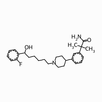 CC(C)(C(N)=O)c1cccc(C2CCN(CCCCCC(O)c3ccccc3F)CC2)c1